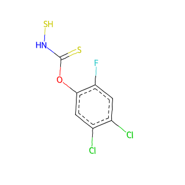 Fc1cc(Cl)c(Cl)cc1OC(=S)NS